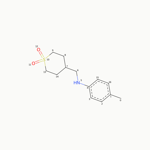 Cc1ccc(NCC2CCS(=O)(=O)CC2)cc1